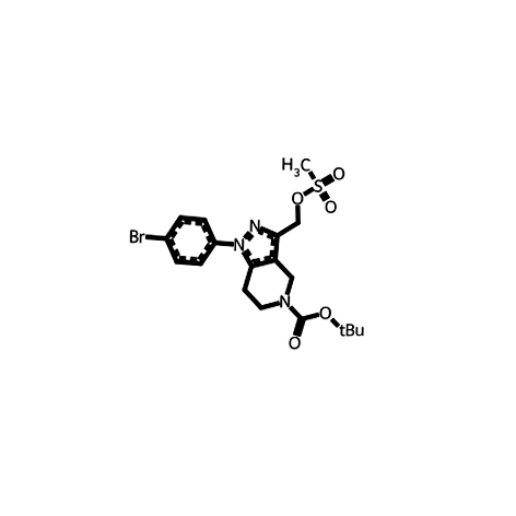 CC(C)(C)OC(=O)N1CCc2c(c(COS(C)(=O)=O)nn2-c2ccc(Br)cc2)C1